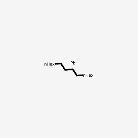 CCCCCCCCCCCCCCCC.[Pb]